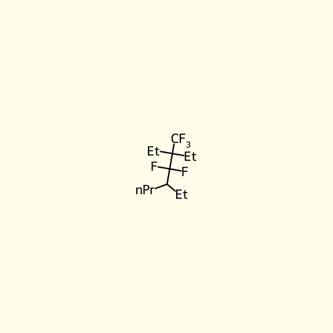 CCCC(CC)C(F)(F)C(CC)(CC)C(F)(F)F